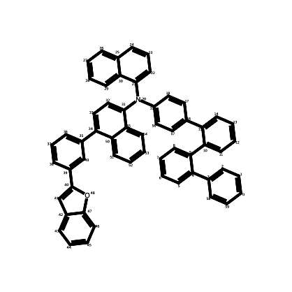 c1ccc(-c2ccccc2-c2ccccc2-c2ccc(N(c3cccc4ccccc34)c3ccc(-c4cccc(-c5cc6ccccc6o5)c4)c4ccccc34)cc2)cc1